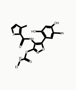 CCNC(=O)Oc1noc(-c2cc(C(C)C)c(O)cc2O)c1NC(=O)c1sccc1C